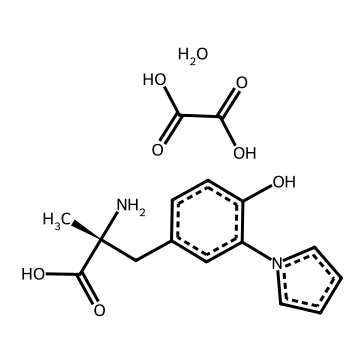 C[C@@](N)(Cc1ccc(O)c(-n2cccc2)c1)C(=O)O.O.O=C(O)C(=O)O